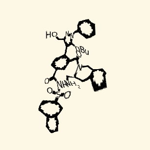 CCCCc1c(-c2ccc(C(=O)NS(=O)(=O)c3ccc4ccccc4c3)cc2C(=O)N2Cc3ccccc3C[C@H]2CN)c(CO)nn1-c1ccccc1